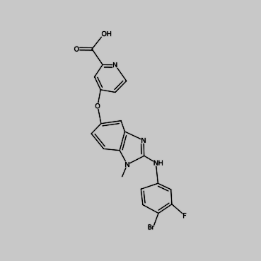 Cn1c(Nc2ccc(Br)c(F)c2)nc2cc(Oc3ccnc(C(=O)O)c3)ccc21